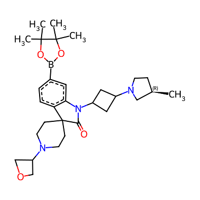 C[C@@H]1CCN(C2CC(N3C(=O)C4(CCN(C5COC5)CC4)c4ccc(B5OC(C)(C)C(C)(C)O5)cc43)C2)C1